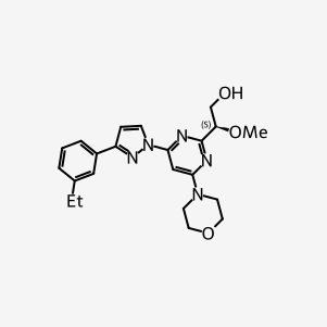 CCc1cccc(-c2ccn(-c3cc(N4CCOCC4)nc([C@@H](CO)OC)n3)n2)c1